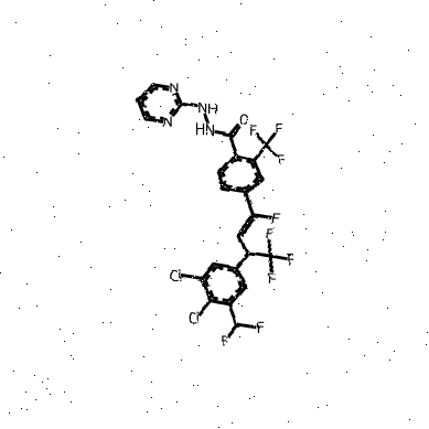 O=C(NNc1ncccn1)c1ccc(C(F)=CC(c2cc(Cl)c(Cl)c(C(F)F)c2)C(F)(F)F)cc1C(F)(F)F